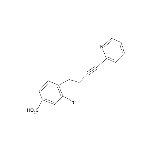 O=C(O)c1ccc(CCC#Cc2ccccn2)c(Cl)c1